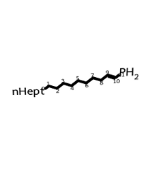 CCCCCCCCCCCCCCCC=CP